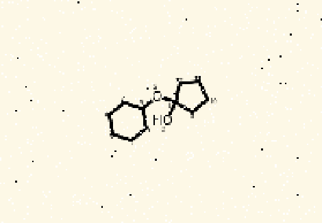 OC1(OC2CCCCC2)CCCC1